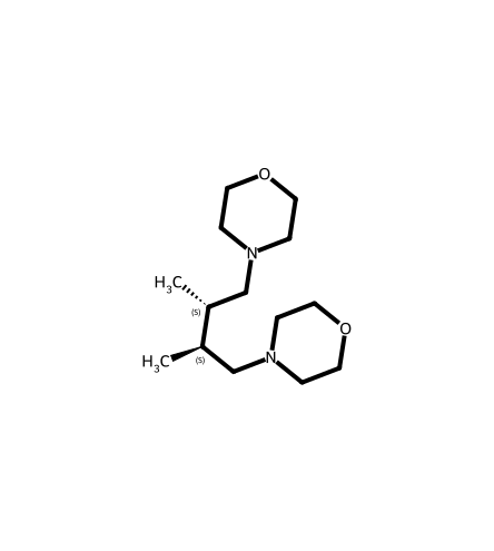 C[C@H](CN1CCOCC1)[C@H](C)CN1CCOCC1